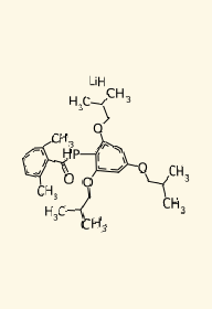 Cc1cccc(C)c1C(=O)Pc1c(OCC(C)C)cc(OCC(C)C)cc1OCC(C)C.[LiH]